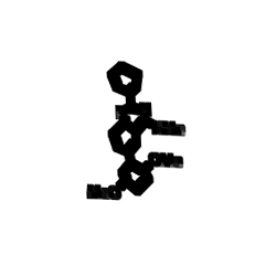 CNc1nc(-c2ccccc2)nc2ccc(-c3cc(OC)ccc3OC)cc12